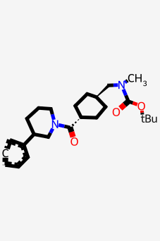 CN(C[C@H]1CC[C@H](C(=O)N2CCCC(c3ccccc3)C2)CC1)C(=O)OC(C)(C)C